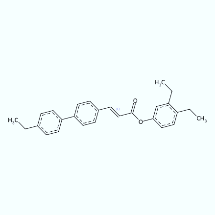 CCc1ccc(-c2ccc(/C=C/C(=O)Oc3ccc(CC)c(CC)c3)cc2)cc1